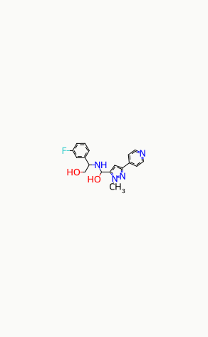 Cn1nc(-c2ccncc2)cc1C(O)NC(CO)c1cccc(F)c1